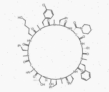 CCCN1CC(=O)N(C)[C@@H](CC(C)C)C(=O)N[C@@H](CCCCO)C(=O)N(C)[C@@H](Cc2cccc(Cl)c2)C(=O)N(C)[C@@H](CC(C)C)C(=O)N[C@H](C(=O)N2CCCCC2)CC(=O)N[C@H](CC)C(=O)N(C)[C@@H](Cc2ccccc2)C(=O)N[C@@H](CC(C)C)C(=O)N(C)[C@@H](CC(C)C)C(O)N[C@@H]([C@@H](C)O)C1=O